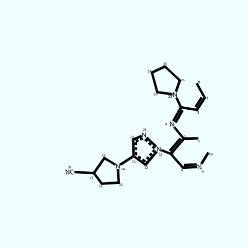 C\C=C/C(=N\C(C)=C(\C=N/C)n1cc(N2CCC(C#N)C2)cn1)N1CCCC1